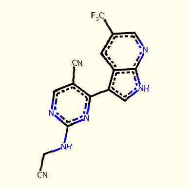 N#CCNc1ncc(C#N)c(-c2c[nH]c3ncc(C(F)(F)F)cc23)n1